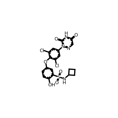 O=c1cnn(-c2cc(Cl)c(Oc3ccc(O)c(S(=O)(=O)NC4CCC4)c3)c(Cl)c2)c(=O)[nH]1